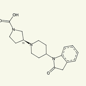 O=C(O)N1CC[C@H](N2CCC(N3C(=O)Cc4ccccc43)CC2)C1